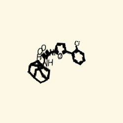 NC(=O)[C@]12CC3CC(C1)[C@@H](NC(=O)c1ccc(-c4ccccc4Cl)o1)C(C3)C2